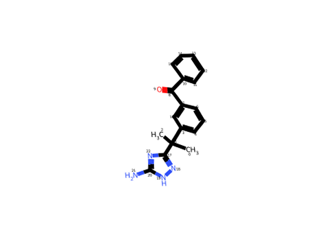 CC(C)(c1cccc(C(=O)c2ccccc2)c1)c1n[nH]c(N)n1